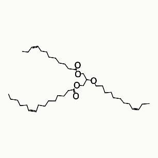 CC/C=C\CCCCCCCCOC(COC(=O)CCCCCCC/C=C\CC)COC(=O)CCCCCCC/C=C\CCCCC